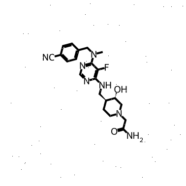 CN(Cc1ccc(C#N)cc1)c1ncnc(NC[C@@H]2CCN(CC(N)=O)C[C@H]2O)c1F